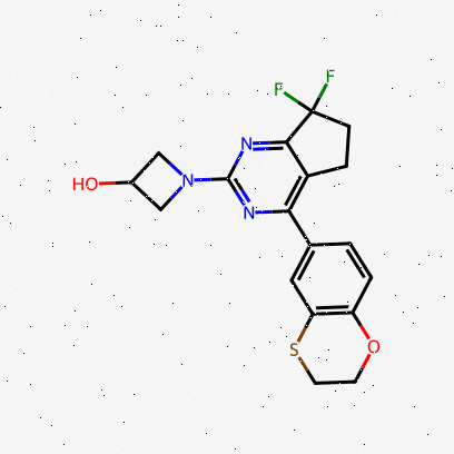 OC1CN(c2nc(-c3ccc4c(c3)SCCO4)c3c(n2)C(F)(F)CC3)C1